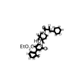 CCOC(=O)c1cn(CC2(O)CCN(C(=O)C(C)CC3CCCCC3)CC2(C)C)c(=O)cc1-c1ccccc1F